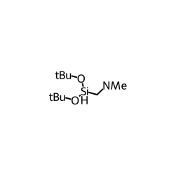 CNC[SiH](OC(C)(C)C)OC(C)(C)C